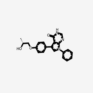 C[C@@H](O)COc1ccc(-c2cn(-c3ccccc3)c3nc[nH]c(=O)c23)cc1